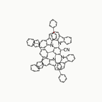 N#Cc1c(-n2c3ccccc3c3ccccc32)c(-n2c3ccc(-c4ccccc4)cc3c3cc(-c4ccccc4)ccc32)c(-c2cc(-c3ccccc3)cc(-c3ccccc3)c2)c(-n2c3ccc(-c4ccccc4)cc3c3cc(-c4ccccc4)ccc32)c1-n1c2ccccc2c2ccccc21